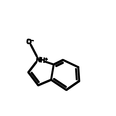 [O-][NH+]1C=Cc2ccccc21